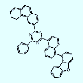 C1=Cc2ccc3ccc(-c4nc(-c5ccccc5)nc(-c5cccc6c(-c7cccc8oc9ccccc9c78)cccc56)n4)cc3c2CC1